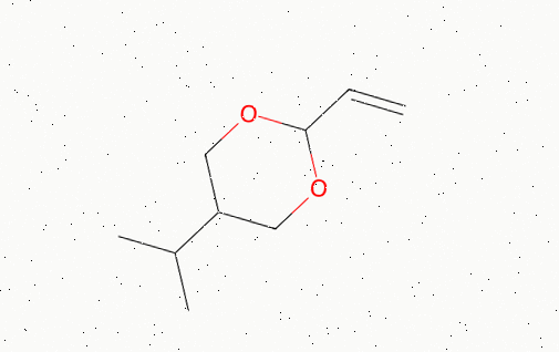 C=CC1OCC(C(C)C)CO1